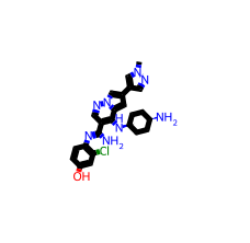 Cn1cc(-c2cc3c(N[C@H]4CC[C@H](N)CC4)c(/C(N)=N/c4ccc(O)cc4Cl)cnn3c2)cn1